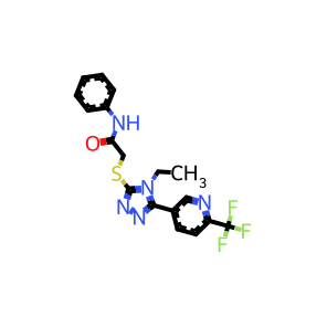 CCn1c(SCC(=O)Nc2ccccc2)nnc1-c1ccc(C(F)(F)F)nc1